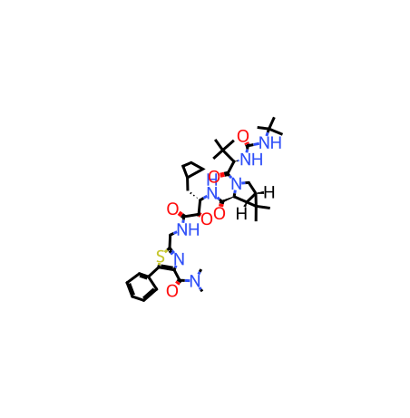 CN(C)C(=O)c1nc(CNC(=O)C(=O)[C@H](CC2CCC2)NC(=O)[C@@H]2[C@@H]3[C@H](CN2C(=O)[C@@H](NC(=O)NC(C)(C)C)C(C)(C)C)C3(C)C)sc1-c1ccccc1